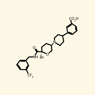 CC(C)[C@]1(C(=O)NCc2cccc(C(F)(F)F)c2)CC[C@@H](N2CCC(c3cccc(C(=O)O)c3)CC2)CO1